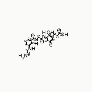 NN=CNc1cccc(C(=O)NCC(=O)Nc2cc(Cl)cc(CCC(=O)O)c2O)c1